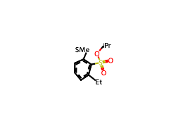 CCc1cccc(SC)c1S(=O)(=O)OC(C)C